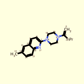 C=C(CCC)N1CCN(c2ccc3cc(C)ccc3n2)CC1